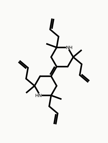 C=CCC1(C)CC(=C2CC(C)(CC=C)NC(C)(CC=C)C2)CC(C)(CC=C)N1